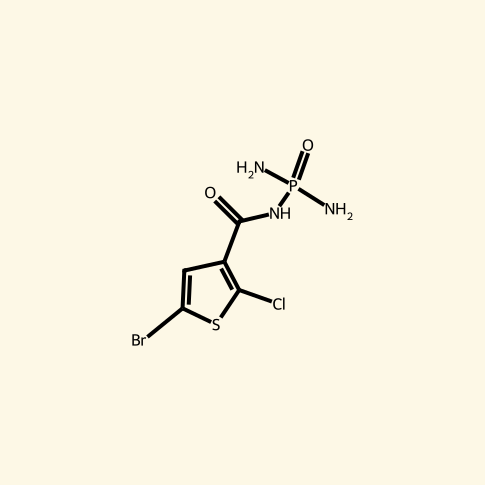 NP(N)(=O)NC(=O)c1cc(Br)sc1Cl